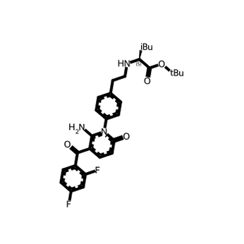 CCC(C)[C@H](NCCc1ccc(-n2c(N)c(C(=O)c3ccc(F)cc3F)ccc2=O)cc1)C(=O)OC(C)(C)C